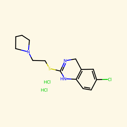 Cl.Cl.Clc1ccc2c(c1)CN=C(SCCN1CCCC1)N2